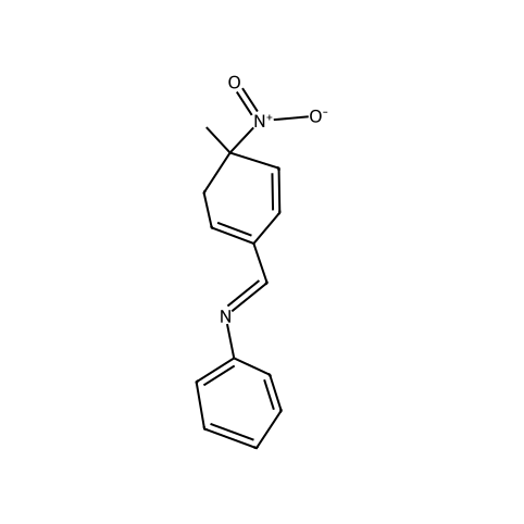 CC1([N+](=O)[O-])C=CC(C=Nc2ccccc2)=CC1